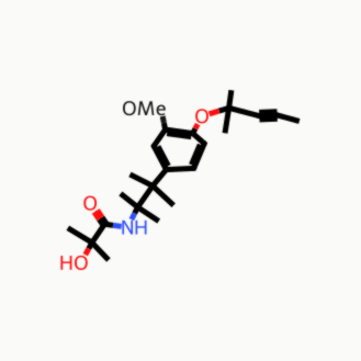 CC#CC(C)(C)Oc1ccc(C(C)(C)C(C)(C)NC(=O)C(C)(C)O)cc1OC